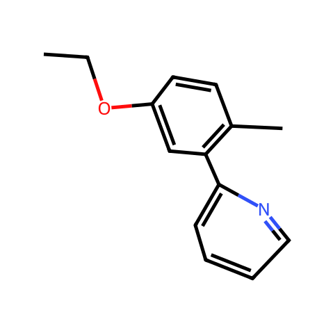 CCOc1ccc(C)c(-c2ccccn2)c1